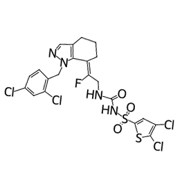 O=C(NCC(F)=C1CCCc2cnn(Cc3ccc(Cl)cc3Cl)c21)NS(=O)(=O)c1cc(Cl)c(Cl)s1